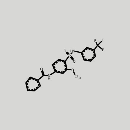 COc1cc(NC(=O)c2ccccc2)ccc1S(=O)(=O)Nc1cccc(C(F)(F)F)c1